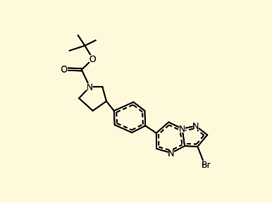 CC(C)(C)OC(=O)N1CCC(c2ccc(-c3cnc4c(Br)cnn4c3)cc2)C1